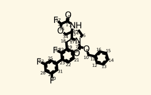 O=C1N[C@]2(CCN(C(=O)OCc3ccccc3)[C@H]2Cc2cccc(-c3cc(F)cc(F)c3)c2F)COC1F